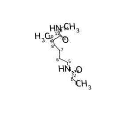 CCC(=O)NCCCCC(C)C(=O)NC